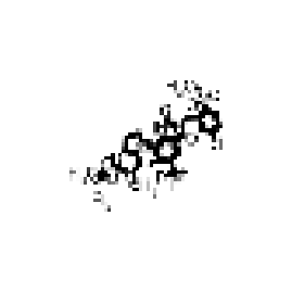 CCS(=O)(=O)c1ccc(Cl)cc1Cn1c(=O)[nH]c2c(Cl)c(C[C@@H](C3CCCN3)N(C)C(=O)OC(C)(C)C)c(C(F)(F)F)cc2c1=O